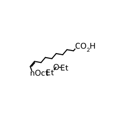 CCCCCCCC/C=C\CCCCCCCC(=O)O.CCOCC